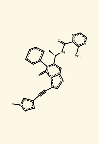 C[C@@H](NC(=O)c1nccnc1N)c1cc2ncc(C#Cc3cnn(C)c3)n2c(=O)n1-c1ccccc1